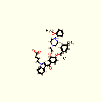 COc1ccccc1N1CCN(CCOc2cc(C(=O)c3cn(CCCC(=O)[O-])c4ccccc34)ccc2OCc2ccc(C)cc2)CC1.[K+]